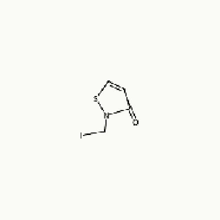 O=c1ccsn1CI